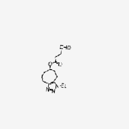 CCn1nnc2c1CCC(OC(=O)CCC=O)CCC2